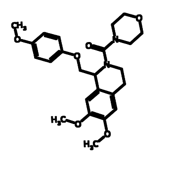 COc1ccc(OCC2c3cc(OC)c(OC)cc3CCN2C(=O)N2CCOCC2)cc1